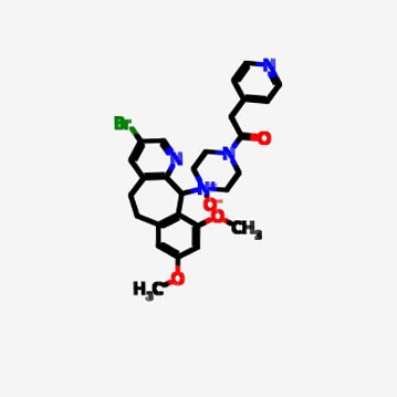 COc1cc2c(c(OC)c1)C([N+]1([O-])CCN(C(=O)Cc3ccncc3)CC1)c1ncc(Br)cc1CC2